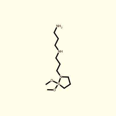 CO[Si]1(OC)CCCN1CCCNCCCN